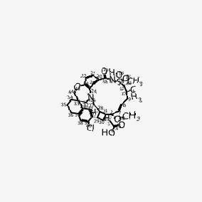 CO[C@]1(CC(=O)O)/C=C/C[C@H](C)[C@@H](C)S(=O)(=O)NC(=O)c2ccc3c(c2)N(C[C@@H]2CC[C@H]21)C[C@@]1(CCCc2cc(Cl)ccc21)CO3